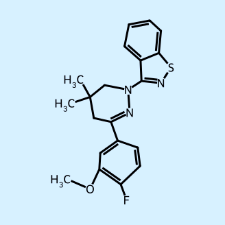 COc1cc(C2=NN(c3nsc4ccccc34)CC(C)(C)C2)ccc1F